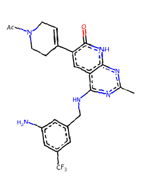 CC(=O)N1CC=C(c2cc3c(NCc4cc(N)cc(C(F)(F)F)c4)nc(C)nc3[nH]c2=O)CC1